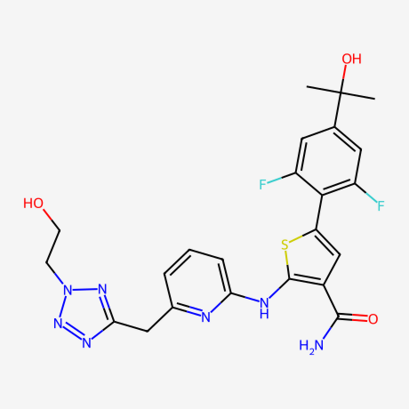 CC(C)(O)c1cc(F)c(-c2cc(C(N)=O)c(Nc3cccc(Cc4nnn(CCO)n4)n3)s2)c(F)c1